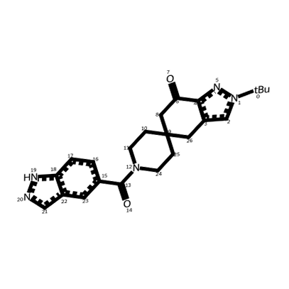 CC(C)(C)n1cc2c(n1)C(=O)CC1(CCN(C(=O)c3ccc4[nH]ncc4c3)CC1)C2